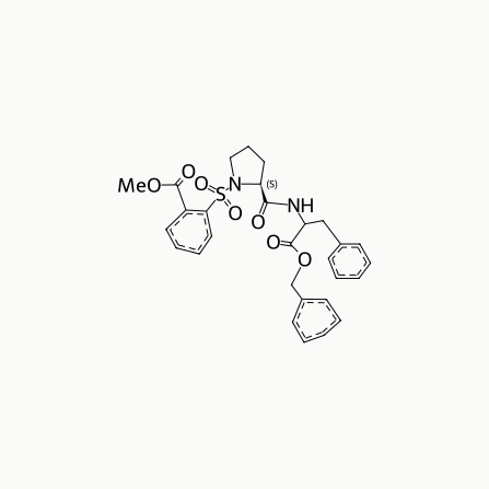 COC(=O)c1ccccc1S(=O)(=O)N1CCC[C@H]1C(=O)NC(Cc1ccccc1)C(=O)OCc1ccccc1